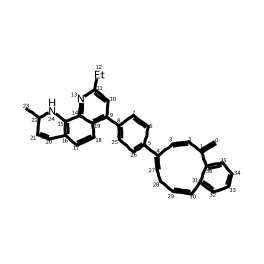 C=C1/C=C\C(c2ccc(-c3cc(CC)nc4c5c(ccc34)C=CC(C)N5)cc2)=C/C/C=C\c2ccccc21